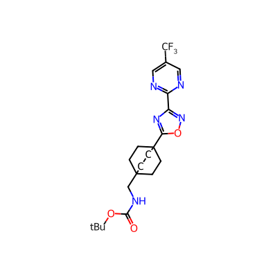 CC(C)(C)OC(=O)NCC12CCC(c3nc(-c4ncc(C(F)(F)F)cn4)no3)(CC1)CC2